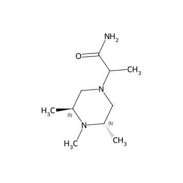 CC(C(N)=O)N1C[C@H](C)N(C)[C@@H](C)C1